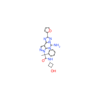 CC(C(=O)N[C@H]1C[C@@H](O)C1)(c1ccccc1)n1ncc2c1nc(N)n1nc(-c3ccco3)nc21